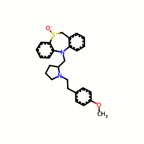 COc1ccc(CCN2CCCC2CN2c3ccccc3C[S+]([O-])c3ccccc32)cc1